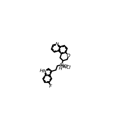 Cl.Cl.Fc1ccc2[nH]cc(CCNC3COc4ccc5ncccc5c4C3)c2c1